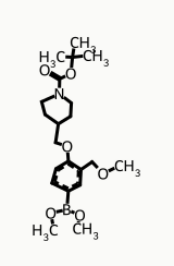 COCc1cc(B(OC)OC)ccc1OCC1CCN(C(=O)OC(C)(C)C)CC1